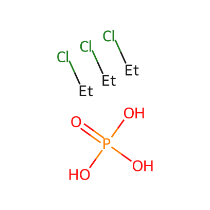 CCCl.CCCl.CCCl.O=P(O)(O)O